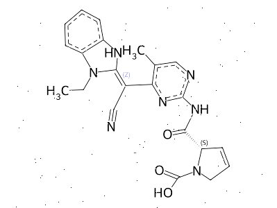 CCN1/C(=C(\C#N)c2nc(NC(=O)[C@@H]3C=CCN3C(=O)O)ncc2C)Nc2ccccc21